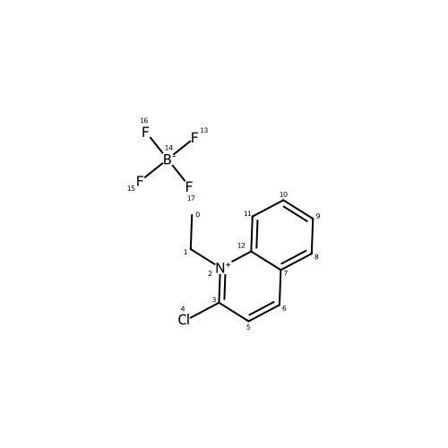 CC[n+]1c(Cl)ccc2ccccc21.F[B-](F)(F)F